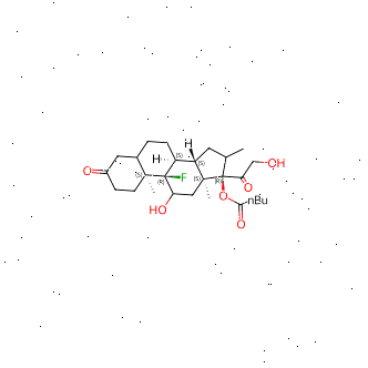 CCCCC(=O)O[C@]1(C(=O)CO)C(C)C[C@H]2[C@@H]3CCC4CC(=O)CC[C@]4(C)[C@@]3(F)C(O)C[C@@]21C